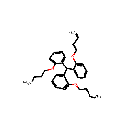 CCCCOc1ccccc1[C](c1ccccc1OCCCC)c1ccccc1OCCCC